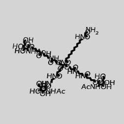 CC(=O)NC1C(O)[C@@H](O)C(CO)O[C@H]1OCCCCC(=O)NCCCNC(=O)CCOCC(COCCC(=O)NCCCNO[C@@H]1OC(CO)[C@H](O)C(O)C1NC(C)=O)(COCCC(=O)NCCCNC(=O)CCCCO[C@@H]1OC(CO)[C@H](O)C(O)C1NC(C)=O)NC(=O)CCCCCCCCCCCCNC(=O)CON